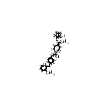 Cc1cccnc1Cc1ccc(OC(=O)N2CCC(C(C)Sc3nnn[nH]3)CC2)cc1